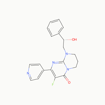 O=c1c(F)c(-c2ccncc2)nc2n1CCCN2C[C@@H](O)c1ccccc1